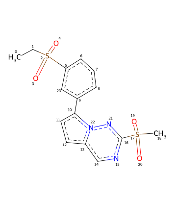 CCS(=O)(=O)c1cccc(-c2ccc3cnc(S(C)(=O)=O)nn23)c1